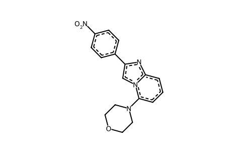 O=[N+]([O-])c1ccc(-c2cn3c(N4CCOCC4)cccc3n2)cc1